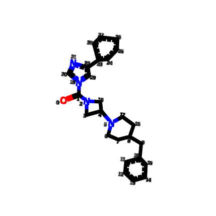 O=C(N1CC(N2CCC(Cc3ccccc3)CC2)C1)n1cnc(-c2ccccc2)c1